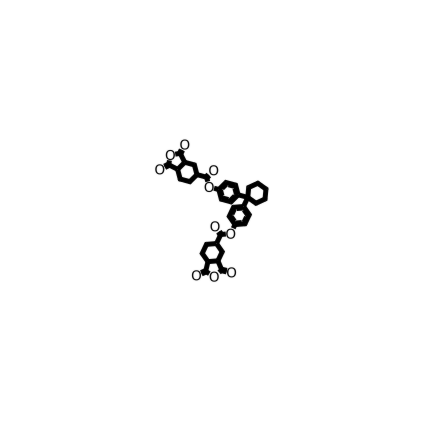 O=C(Oc1ccc(C2(c3ccc(OC(=O)C4CCC5C(=O)OC(=O)C5C4)cc3)CCCCC2)cc1)C1CCC2C(=O)OC(=O)C2C1